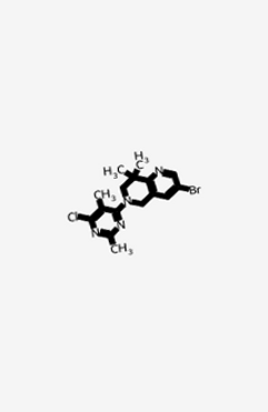 Cc1nc(Cl)c(C)c(N2Cc3cc(Br)cnc3C(C)(C)C2)n1